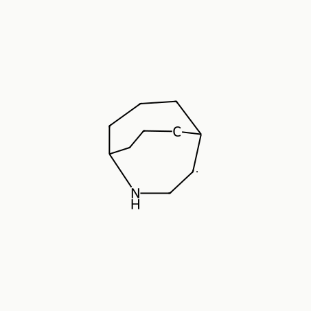 [CH]1CNC2CCCC1CCC2